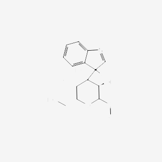 OC[C@H]1OC(OCl)[C@H](O)[C@](O)(C2(O)C=Nc3ccccc32)[C@H]1O